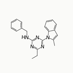 CCc1nc(NCc2ccccc2)nc(-n2c(C)cc3ccccc32)n1